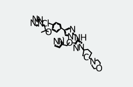 CC(Cn1cnnn1)Oc1cc(-c2cnc(Nc3cn(C4CCC(N5CCOCC5)CC4)nc3OCc3ccnn3C)nc2)ccc1Cl